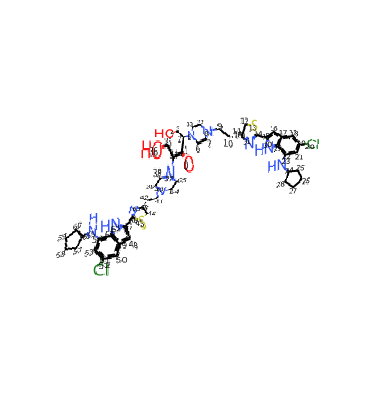 O=C(C(CO)N1CCN(CC[C@@H]2CSC(c3cc4cc(Cl)cc(NC5CCCC5)c4[nH]3)=N2)CC1)C(CO)N1CCN(CC[C@@H]2CSC(c3cc4cc(Cl)cc(NC5CCCC5)c4[nH]3)=N2)CC1